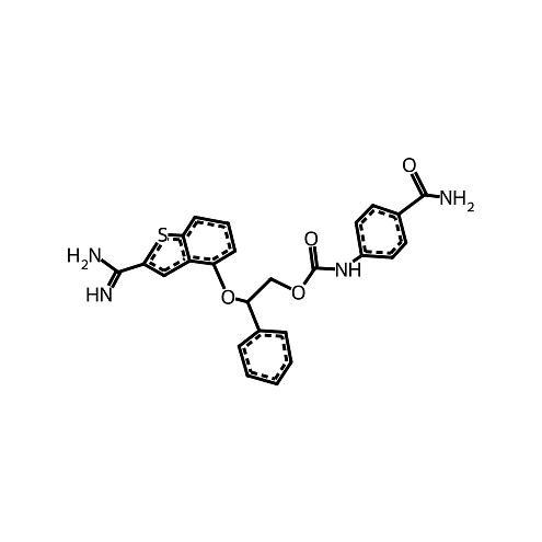 N=C(N)c1cc2c(OC(COC(=O)Nc3ccc(C(N)=O)cc3)c3ccccc3)cccc2s1